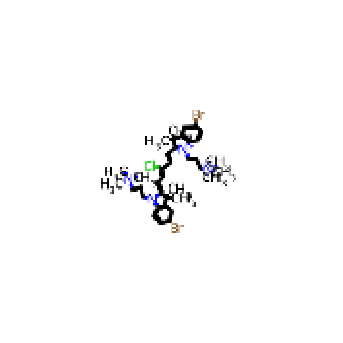 CC1(C)C(/C=C/C(Cl)=C/C=C2/N(CCC[N+](C)(C)C)c3ccc(Br)cc3C2(C)C)=[N+](CCC[N+](C)(C)C)c2ccc(Br)cc21